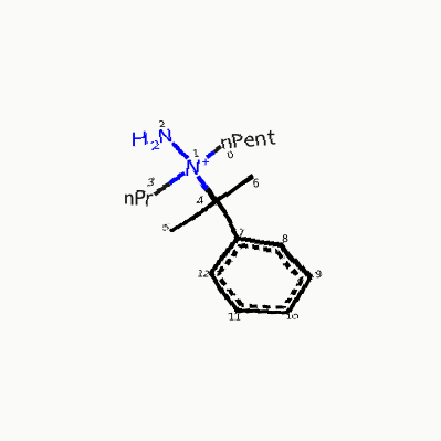 CCCCC[N+](N)(CCC)C(C)(C)c1ccccc1